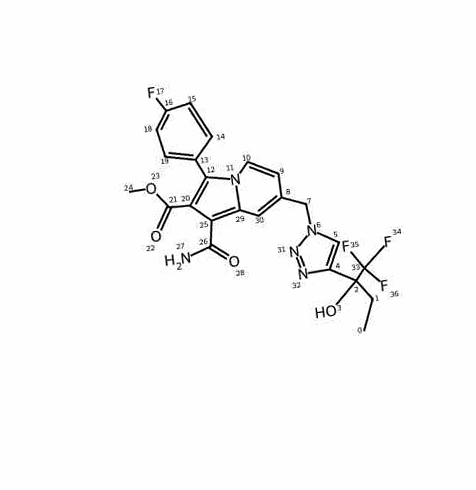 CCC(O)(c1cn(Cc2ccn3c(-c4ccc(F)cc4)c(C(=O)OC)c(C(N)=O)c3c2)nn1)C(F)(F)F